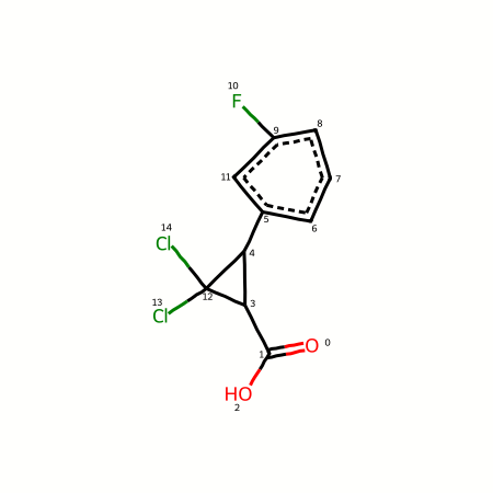 O=C(O)C1C(c2cccc(F)c2)C1(Cl)Cl